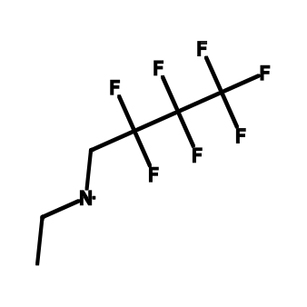 CC[N]CC(F)(F)C(F)(F)C(F)(F)F